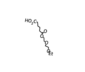 CCOCCOCCOC(=O)CCCCC(=O)O